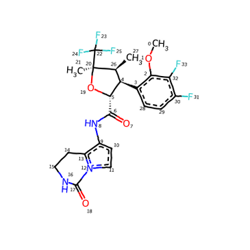 COc1c([C@H]2[C@H](C(=O)Nc3ccn4c3CCNC4=O)O[C@@](C)(C(F)(F)F)[C@H]2C)ccc(F)c1F